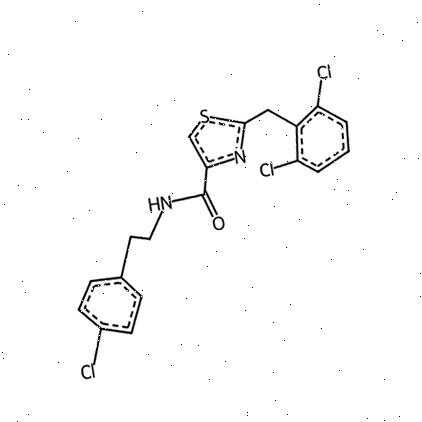 O=C(NCCc1ccc(Cl)cc1)c1csc(Cc2c(Cl)cccc2Cl)n1